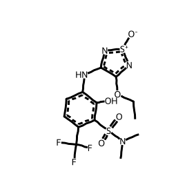 CCOc1n[s+]([O-])nc1Nc1ccc(C(F)(F)F)c(S(=O)(=O)N(C)C)c1O